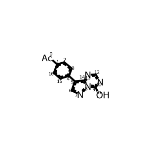 CC(=O)c1ccc(-c2cnn3c(O)ncnc23)cc1